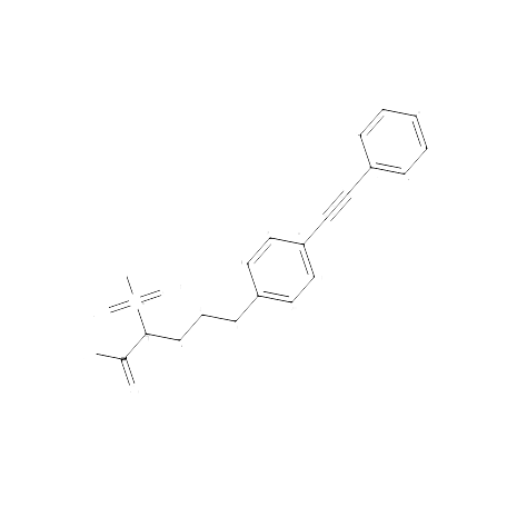 CC(=O)C(CCCc1ccc(C#Cc2ccccc2)cc1)S(C)(=O)=O